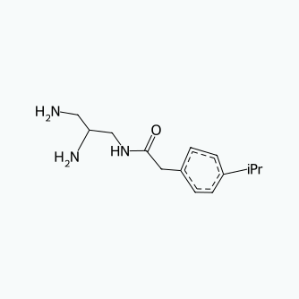 CC(C)c1ccc(CC(=O)NCC(N)CN)cc1